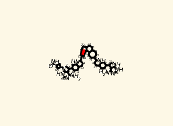 NC(=O)[C@H]1C[C@@H](N2CC(C3CCC4CCC(C5CCC6(CC5)C5CC7CCC8CCC(C9CCC%10CCC(C%11CNC%12NC=NC(N)C%12%11)CC%10N9)CCC8C76C6CCC56)NC4C3)C3C(N)N=CNC32)C1